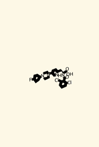 O=C(N[C@@H](Cc1ccc(N2CCN(c3ccc(F)cc3)CC2)cn1)C(=O)O)c1c(Cl)cccc1Cl